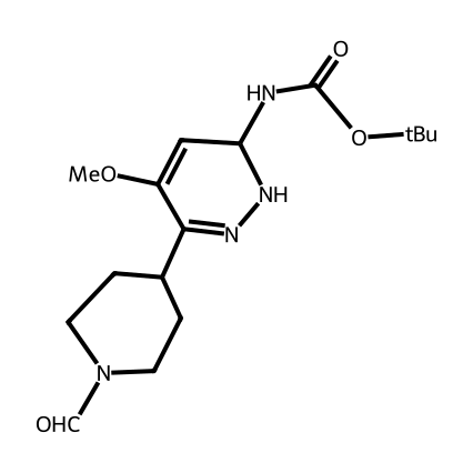 COC1=CC(NC(=O)OC(C)(C)C)NN=C1C1CCN(C=O)CC1